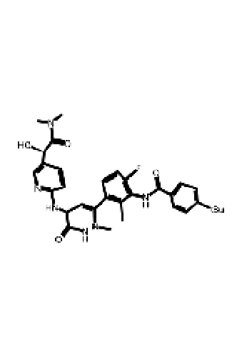 Cc1c(C2=CC(Nc3ccc([C@@H](O)C(=O)N(C)C)cn3)C(=O)NN2C)ccc(F)c1NC(=O)c1ccc(C(C)(C)C)cc1